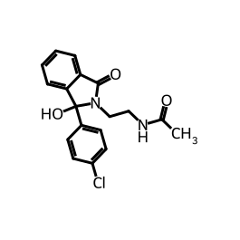 CC(=O)NCCN1C(=O)c2ccccc2C1(O)c1ccc(Cl)cc1